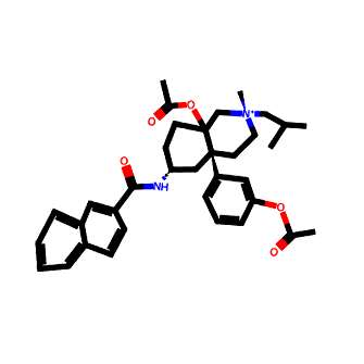 CC(=O)Oc1cccc([C@]23CC[N@@+](C)(CC(C)C)CC2(OC(C)=O)CC[C@@H](NC(=O)c2ccc4ccccc4c2)C3)c1